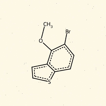 COc1c(Br)ccc2sccc12